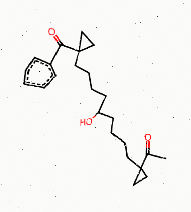 CC(=O)C1(CCCCC(O)CCCCC2(C(=O)c3ccccc3)CC2)CC1